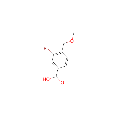 COCc1ccc(C(=O)O)cc1Br